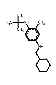 Cc1cc(NCC2CCCCC2)ccc1NC(C)(C)C